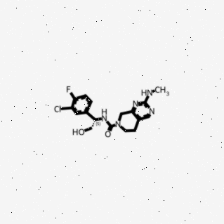 CNc1ncc2c(n1)CN(C(=O)N[C@H](CO)c1ccc(F)c(Cl)c1)CC2